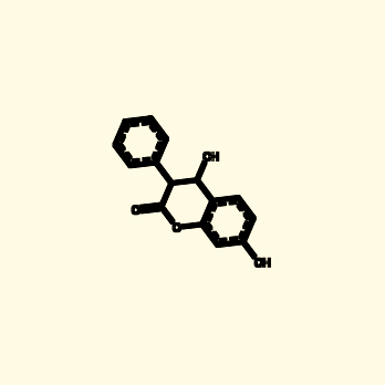 O=C1Oc2cc(O)ccc2C(O)C1c1ccccc1